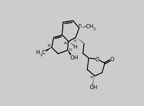 C[C@H]1C=C2C=C[C@H](C)[C@H](CCC3C[C@@H](O)CC(=O)O3)[C@H]2[C@@H](O)C1